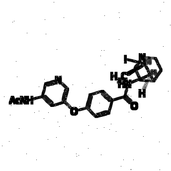 CC(=O)Nc1cncc(Oc2ccc(C(=O)N[C@@H]3C4CCN(CC4)[C@@]3(C)I)cc2)c1